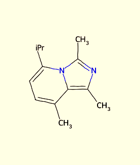 Cc1ccc(C(C)C)n2c(C)nc(C)c12